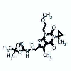 COCCn1c(=O)n(C2(C)CC2)c(=O)c2c(C)c(CNNC(=O)OC(C)(C)C)sc21